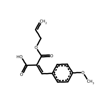 C=CCOC(=O)C(=Cc1ccc(OC)cc1)C(=O)O